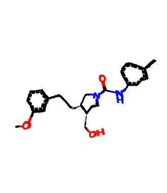 COc1cccc(CC[C@@H]2CN(C(=O)Nc3ccc(C)cc3)C[C@@H]2CO)c1